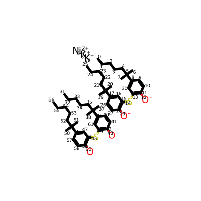 CCCCCC(C)(C)c1ccc([O-])c(Sc2cc(C(C)(C)CCCCC)ccc2[O-])c1.CCCCCC(C)(C)c1ccc([O-])c(Sc2cc(C(C)(C)CCCCC)ccc2[O-])c1.[K+].[K+].[Ni+2]